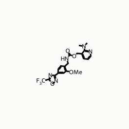 COc1cc(-c2noc(C(F)(F)F)n2)ccc1CNC(=O)OCc1cccnc1N(C)C